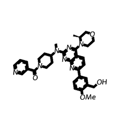 COc1ccc(-c2ccc3c(N4CCOC[C@@H]4C)nc(N(C)C4CCN(C(=O)c5cccnc5)CC4)nc3n2)cc1CO